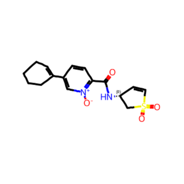 O=C(N[C@@H]1C=CS(=O)(=O)C1)c1ccc(C2=CCCCC2)c[n+]1[O-]